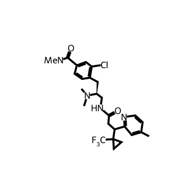 CNC(=O)c1ccc(C[C@@H](CNC(=O)CC(c2cc(C)ccn2)C2(C(F)(F)F)CC2)N(C)C)c(Cl)c1